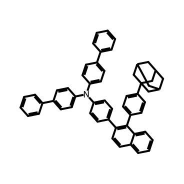 c1ccc(-c2ccc(N(c3ccc(-c4ccccc4)cc3)c3ccc(-c4ccc5ccccc5c4-c4ccc(C56CC7CC(CC(C7)C5)C6)cc4)cc3)cc2)cc1